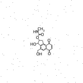 CNC(=O)OC1Cc2c3c(cc(CO)c2C1O)C(=O)C=CC3=O